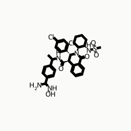 CC(NC(=O)[C@@H]1c2ccccc2C(=O)N([C@H]2CCCC[C@@H]2NS(C)(=O)=O)[C@H]1c1ccc(Cl)cc1Cl)c1ccc(C(N)NO)cc1